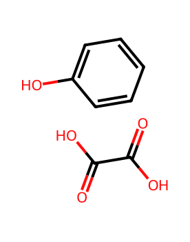 O=C(O)C(=O)O.Oc1ccccc1